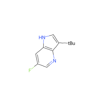 CC(C)(C)c1c[nH]c2cc(F)cnc12